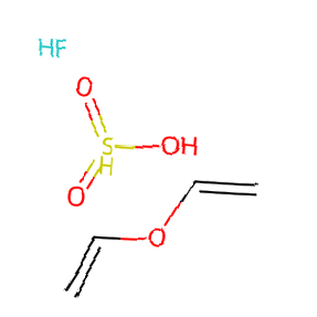 C=COC=C.F.O=[SH](=O)O